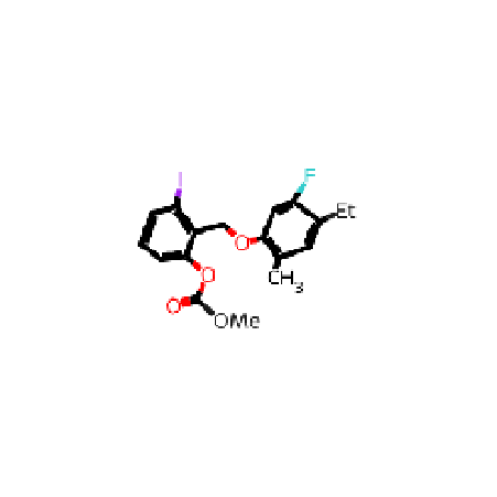 CCc1cc(C)c(OCc2c(I)cccc2OC(=O)OC)cc1F